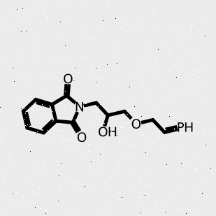 O=C1c2ccccc2C(=O)N1CC(O)COCC=P